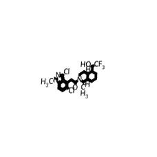 C[C@H]1[C@H]2CCCC(C(O)C(F)(F)F)[C@@H]2CCN1C(=O)Cc1c(Cl)ccc2c1c(Cl)nn2C